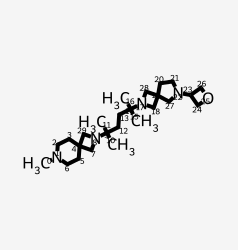 CN1CCC2(CC1)CN(C(C)(C)CCC(C)(C)N1CC3(CCN(C4COC4)C3)C1)C2